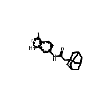 Cc1n[nH]c2cc(NC(=O)CC34CC5CC(CC(C5)C3)C4)ccc12